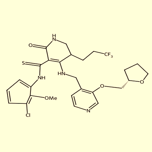 COc1c(Cl)cccc1NC(=S)C1=C(NCc2ccncc2OC[C@@H]2CCCO2)C(CCC(F)(F)F)CNC1=O